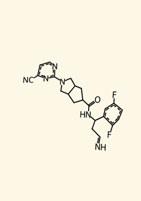 N#Cc1ccnc(N2CC3CC(C(=O)NC(CC=N)c4cc(F)ccc4F)CC3C2)n1